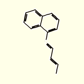 CC=CC=Nc1cccc2ccccc12